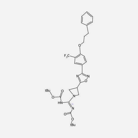 CC(C)(C)OC(=O)/N=C(\NC(=O)OC(C)(C)C)N1CC(c2nc(-c3ccc(OCCCc4ccccc4)c(C(F)(F)F)c3)no2)C1